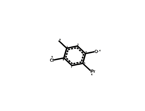 Cc1cc([O])c(C(C)C)cc1Cl